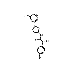 O=C(N[C@@H]1CCN(c2cncc(C(F)(F)F)c2)C1)[C@H](O)c1ccc(Br)cc1